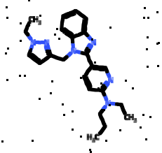 CCCN(CC)c1ccc(-c2nc3ccccc3n2Cc2ccn(CC)n2)cn1